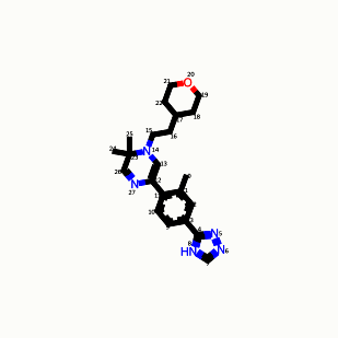 Cc1cc(-c2nnc[nH]2)ccc1C1=CN(CCC2CCOCC2)C(C)(C)C=N1